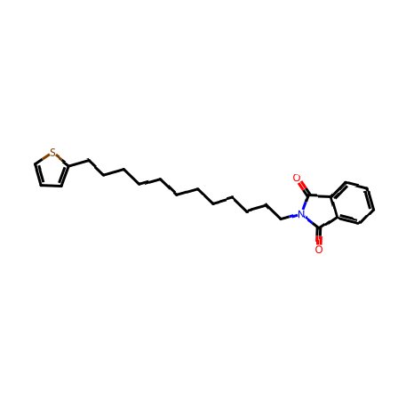 O=C1c2ccccc2C(=O)N1CCCCCCCCCCCCc1cccs1